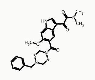 COc1cc2[nH]cc(C(=O)C(=O)N(C)C)c2cc1C(=O)N1CSN(Cc2ccccc2)CS1